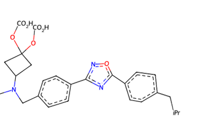 CC(C)Cc1ccc(-c2nc(-c3ccc(CN(C)C4CC(OC(=O)O)(OC(=O)O)C4)cc3)no2)cc1